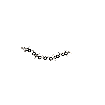 CN1C(=O)c2ccc(Oc3ccc4c(c3)C(=O)N(c3cccc(Oc5cccc(Oc6cccc(N7C(=O)c8ccc(C(=O)c9ccc%10c(c9)C(=O)N(C)C%10=O)cc8C7=O)c6)c5)c3)C4=O)cc2C1=O